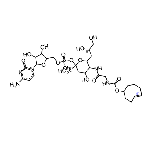 Nc1ccn(C2OC(COP(=O)(O)OC3(C(=O)O)CC(O)C(NC(=O)CNC(=O)OC4CC/C=C/CCC4)C(C[C@H](O)CO)O3)C(O)C2O)c(=O)n1